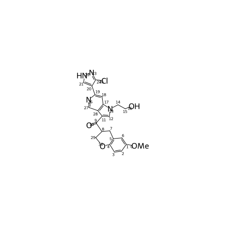 COc1ccc2c(c1)CC(C(=O)c1cn(CCO)c3cc(-c4c[nH]nc4Cl)ncc13)CO2